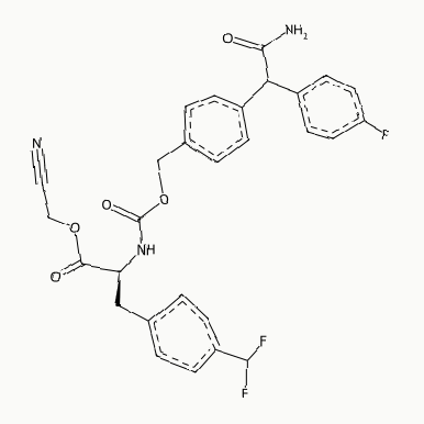 N#CCOC(=O)[C@H](Cc1ccc(C(F)F)cc1)NC(=O)OCc1ccc(C(C(N)=O)c2ccc(F)cc2)cc1